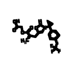 C=C(CC1=CN(C2(c3ccc(SC(F)(F)F)cc3)CC2)NO1)C(=O)OCC(=O)O